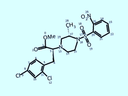 COC(=O)[C@H](Cc1ccc(Cl)cc1Cl)N1CCN(S(=O)(=O)c2ccccc2[N+](=O)[O-])[C@@H](C)C1